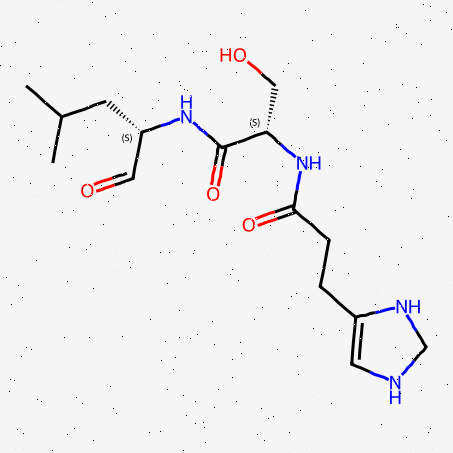 CC(C)C[C@@H](C=O)NC(=O)[C@H](CO)NC(=O)CCC1=CNCN1